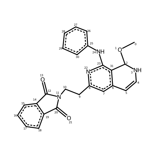 COC1NC=Cc2cc(CCN3C(=O)c4ccccc4C3=O)nc(Nc3ccccc3)c21